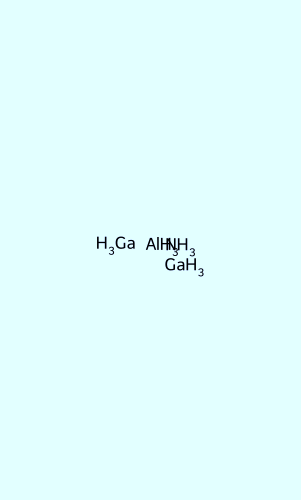 N.[AlH3].[GaH3].[GaH3]